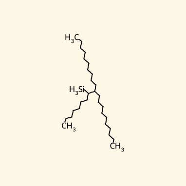 CCCCCCCCCCC(CCCCCCCCCC)C([SiH3])CCCCCCC